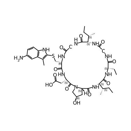 CC[C@@H]1NC(=O)[C@H]([C@@H](C)CC)NC(=O)[C@@H]2C[C@@H](O)CN2C(=O)[C@H](CC(=O)O)NC(=O)[C@H](CSc2[nH]c3ccc(N)cc3c2C)NC(=O)CNC(=O)[C@H]([C@@H](C)CC)NC(=O)CNC1=O